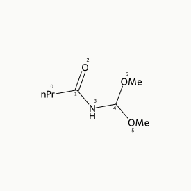 CCCC(=O)NC(OC)OC